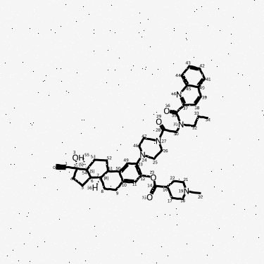 C#C[C@]1(O)CCC2[C@@H]3CCc4cc(OC(=O)C5CCN(C)CC5)c(N5CCN(C(=O)CN(CCC)C(=O)c6ccc7ccccc7n6)CC5)cc4C3CC[C@@]21C